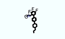 CCCC1CCC(c2ccc(-c3cc(F)c(F)c(F)c3/C=C/OC)cc2)CC1